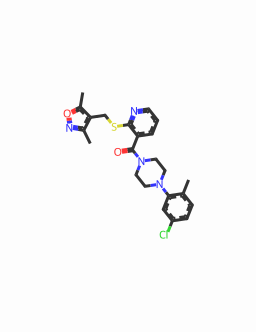 Cc1ccc(Cl)cc1N1CCN(C(=O)c2cccnc2SCc2c(C)noc2C)CC1